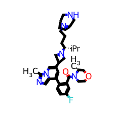 Cc1ncc2c(-c3ccc(F)cc3C(=O)N3CCOC[C@H]3C)cc(C3CN([C@H](CCCN4C5CCC4CNC5)C(C)C)C3)cn12